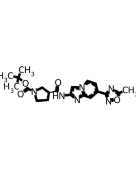 Cc1nc(-c2ccn3cc(NC(=O)[C@H]4CCN(C(=O)OC(C)(C)C)C4)nc3c2)no1